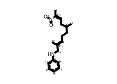 C/C(=C/CC(C)CC/C=C(\C)CNc1ccccc1)[N+](=O)[O-]